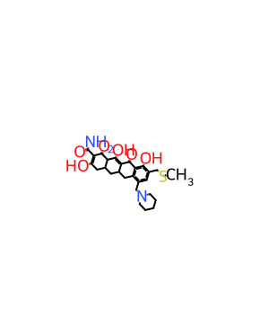 CSCc1cc(CN2CCCCC2)c2c(c1O)C(=O)C1=C(O)C3C(=O)C(C(N)=O)=C(O)CC3CC1C2